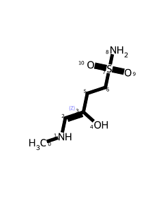 CN/C=C(\O)CCS(N)(=O)=O